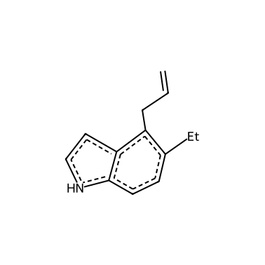 C=CCc1c(CC)ccc2[nH]ccc12